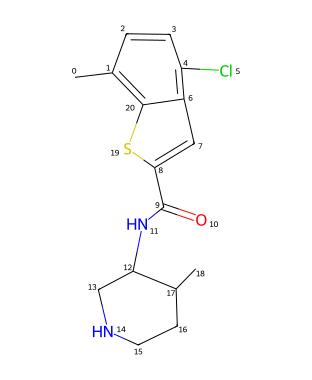 Cc1ccc(Cl)c2cc(C(=O)NC3CNCCC3C)sc12